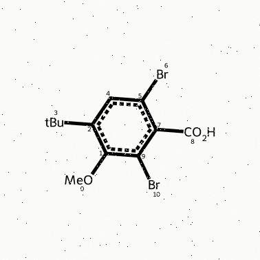 COc1c(C(C)(C)C)cc(Br)c(C(=O)O)c1Br